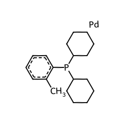 Cc1ccccc1P(C1CCCCC1)C1CCCCC1.[Pd]